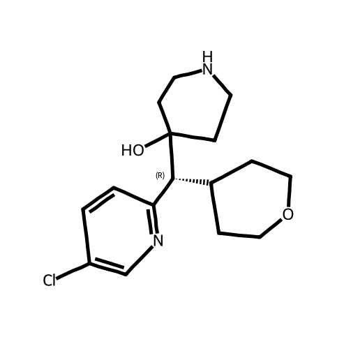 OC1([C@@H](c2ccc(Cl)cn2)C2CCOCC2)CCNCC1